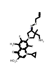 C=CCO/N=C1/CN(c2c(F)c(N)c3c(=O)c(C(=O)O)cn(C4CC4)c3c2F)CC1(C)CN